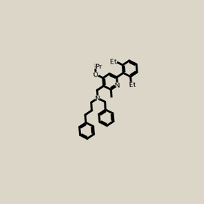 CCc1cccc(CC)c1-c1cc(OC(C)C)c(CN(CCCc2ccccc2)Cc2ccccc2)c(C)n1